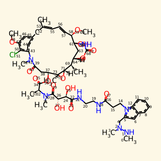 CNN(C)Cc1cc2ccccc2n1CCC(=O)NCCNC(=O)[C@H](O)[C@H](O)C(=O)N(C)[C@@H](C)C(=O)O[C@H]1CC(=O)N(C)c2cc(cc(OC)c2Cl)C/C(C)=C/C=C/[C@@H](OC)[C@@]2(O)C[C@H](OC(=O)N2)[C@@H](C)[C@@H]2O[C@]12C